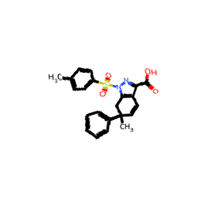 Cc1ccc(S(=O)(=O)n2nc(C(=O)O)c3c2CC(C)(c2ccccc2)C=C3)cc1